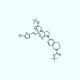 CC(C)(C)OC(=O)CN([C@H]1CCN(c2ccc3c(c2)CCCN(C(=O)OC(C)(C)C)C3)C1=O)S(=O)(=O)C=Cc1ccc(Cl)s1